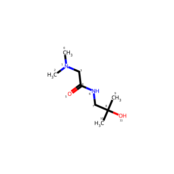 CN(C)CC(=O)NCC(C)(C)O